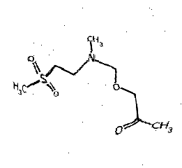 CC(=O)COCN(C)CCS(C)(=O)=O